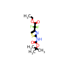 CCOC(=O)C(F)(F)c1csc(NC(=O)OC(C)(C)C)n1